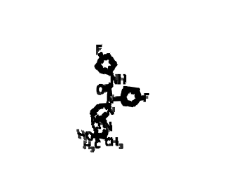 CC(=Nc1nccc(N(C(=O)Nc2ccc(F)cc2)c2ccc(F)cc2)n1)C(C)(C)O